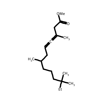 CCC(C)(C)CCCC(C)CC=C=C(C)CC(=O)OC